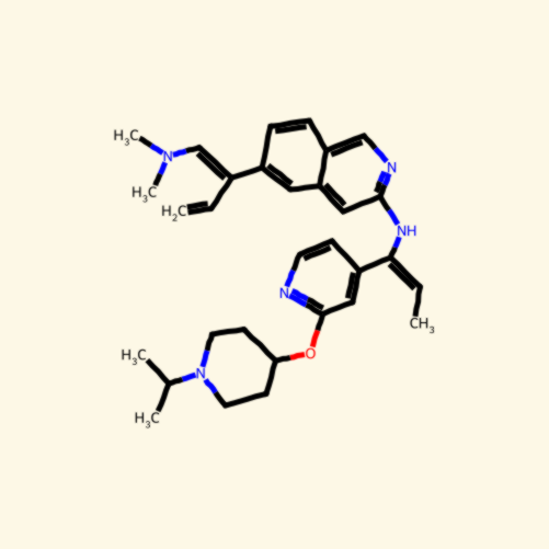 C=C/C(=C\N(C)C)c1ccc2cnc(N/C(=C/C)c3ccnc(OC4CCN(C(C)C)CC4)c3)cc2c1